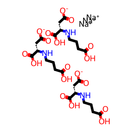 O=C([O-])C[C@H](NCCCC(=O)O)C(=O)O.O=C([O-])C[C@H](NCCCC(=O)O)C(=O)O.O=C([O-])C[C@H](NCCCC(=O)O)C(=O)O.[Na+].[Na+].[Na+]